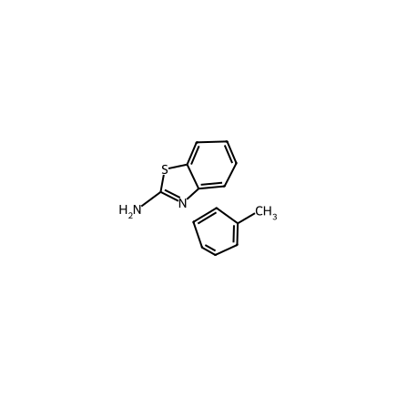 Cc1ccccc1.Nc1nc2ccccc2s1